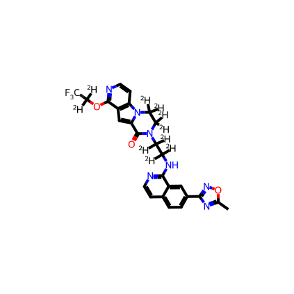 [2H]C([2H])(Nc1nccc2ccc(-c3noc(C)n3)cc12)C([2H])([2H])N1C(=O)c2cc3c(OC([2H])([2H])C(F)(F)F)nccc3n2C([2H])([2H])C1([2H])[2H]